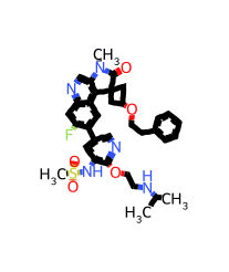 CC(C)NCCOc1ncc(-c2cc3c4c(cnc3cc2F)N(C)C(=O)C42CC(OCCc3ccccc3)C2)cc1NS(C)(=O)=O